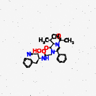 CC(=O)N1C=C(c2ccccc2)N(CC(=O)N[C@@H](Cc2ccccc2)C(O)C#N)C(=O)C1C(C)C